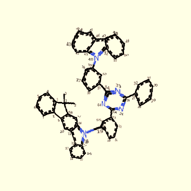 CC1(C)c2ccccc2-c2cc3c4ccccc4n(-c4cccc(-c5nc(-c6ccccc6)nc(-c6cccc(-n7c8ccccc8c8ccccc87)c6)n5)c4)c3cc21